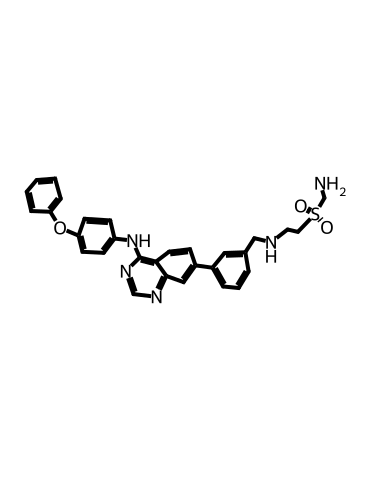 NCS(=O)(=O)CCNCc1cccc(-c2ccc3c(Nc4ccc(Oc5ccccc5)cc4)ncnc3c2)c1